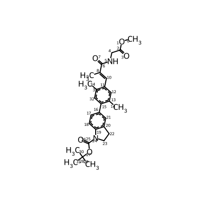 COC(=O)CNC(=O)/C(C)=C/c1cc(C)c(-c2ccc3c(c2)CCN3C(=O)OC(C)(C)C)cc1C